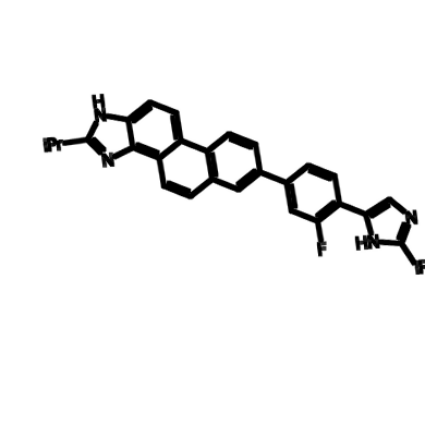 CC(C)c1ncc(-c2ccc(-c3ccc4c(ccc5c4ccc4[nH]c(C(C)C)nc45)c3)cc2F)[nH]1